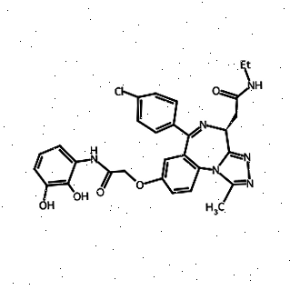 CCNC(=O)C[C@@H]1N=C(c2ccc(Cl)cc2)c2cc(OCC(=O)Nc3cccc(O)c3O)ccc2-n2c(C)nnc21